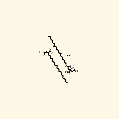 CCCCCCCCCCCCCCCCCC/C(=C\C(=O)O)C(=O)[O-].CCCCCCCCCCCCCCCCCCOC(=O)CC(O)(CC(=O)O)C(=O)O.[Na+]